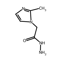 Cc1nccn1CC(=O)NN